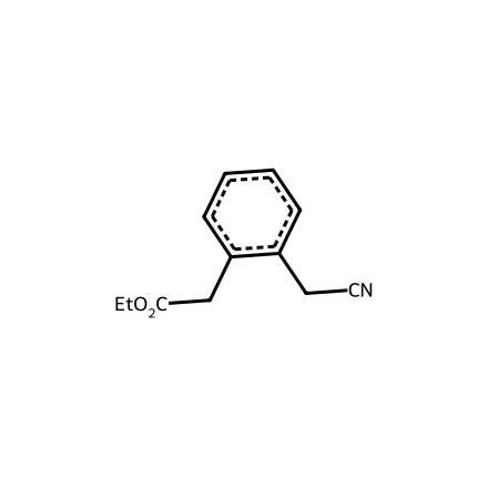 CCOC(=O)Cc1ccccc1CC#N